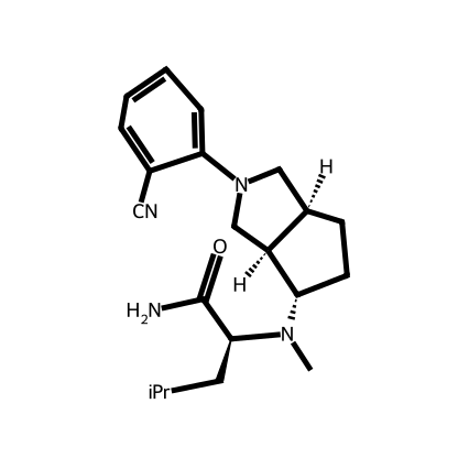 CC(C)C[C@@H](C(N)=O)N(C)[C@H]1CC[C@@H]2CN(c3ccccc3C#N)C[C@@H]21